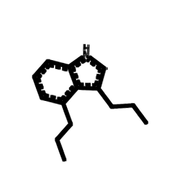 CCCc1[c][nH]c2cccc(CCC)c12